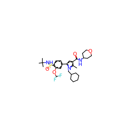 Cc1c(C(=O)NC2CCOCC2)cc(-c2ccc([S+]([O-])NC(C)(C)C)c(OC(F)F)c2)n1CC1CCCCC1